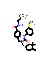 C=C1CC[C@H](CN(Cc2ccc(C(=O)NCCC(=O)O)cc2)C(=O)Nc2cccc(SC(F)(F)F)c2)CC1(C)C